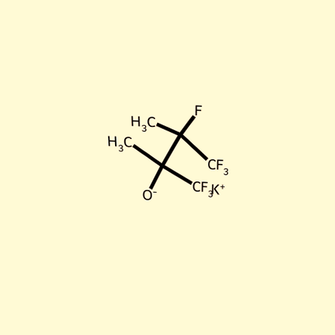 CC([O-])(C(F)(F)F)C(C)(F)C(F)(F)F.[K+]